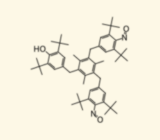 Cc1c(Cc2cc(C(C)(C)C)c(O)c(C(C)(C)C)c2)c(C)c(Cc2cc(C(C)(C)C)c(N=O)c(C(C)(C)C)c2)c(C)c1Cc1cc(C(C)(C)C)c(N=O)c(C(C)(C)C)c1